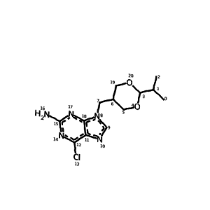 CC(C)C1OCC(Cn2cnc3c(Cl)nc(N)nc32)CO1